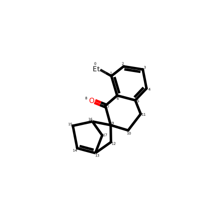 CCc1cccc2c1C(=O)C1(CC2)CC2=CCC1C2